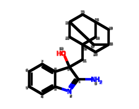 NC1=Nc2ccccc2C1(O)CC12CC3CC(CC(C3)C1)C2